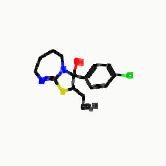 O=C(O)CC1SC2=NCCCCN2C1(O)c1ccc(Cl)cc1